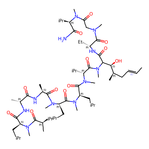 C/C=C/C[C@@H](C)[C@H](O)C(C(=O)N[C@H](CC)C(=O)N(C)CC(=O)N(C)[C@@H](C(N)=O)C(C)C)N(C)C(=O)[C@@H](C(C)C)N(C)C(=O)[C@@H](CC(C)C)N(C)C(=O)[C@@H](CC(C)C)N(C)C(=O)[C@H](C)NC(=O)[C@@H](C)NC(=O)[C@H](CC(C)C)N(C)C(=O)[C@H](C)C(C)C